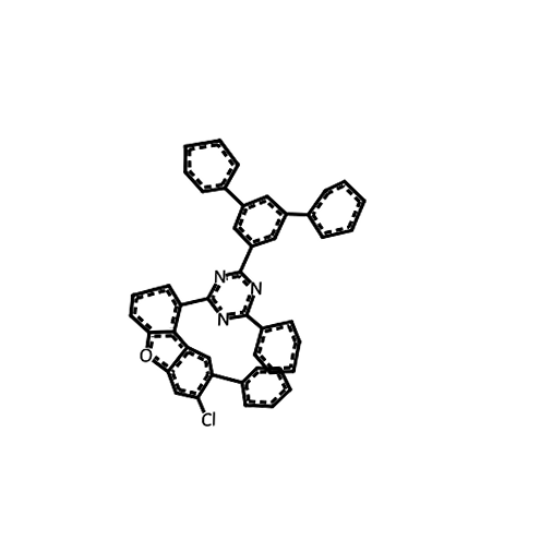 Clc1cc2oc3cccc(-c4nc(-c5ccccc5)nc(-c5cc(-c6ccccc6)cc(-c6ccccc6)c5)n4)c3c2cc1-c1ccccc1